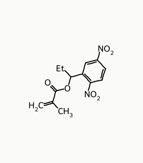 C=C(C)C(=O)OC(CC)c1cc([N+](=O)[O-])ccc1[N+](=O)[O-]